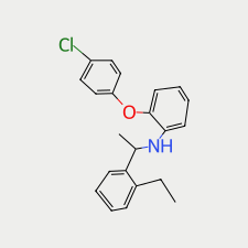 CCc1ccccc1C(C)Nc1ccccc1Oc1ccc(Cl)cc1